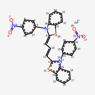 O=[N+]([O-])c1ccc(N2C(=CC=Cc3sc4ccccc4[n+]3-c3ccc([N+](=O)[O-])cc3)Sc3ccccc32)cc1.[I-]